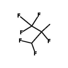 CC(F)(C(F)F)C(F)(F)F